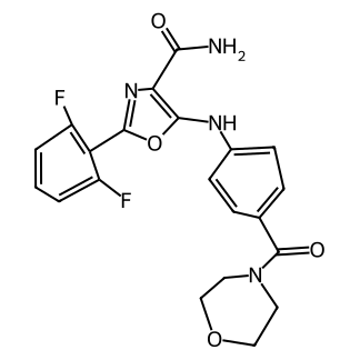 NC(=O)c1nc(-c2c(F)cccc2F)oc1Nc1ccc(C(=O)N2CCOCC2)cc1